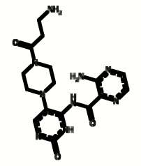 NCCC(=O)N1CCN(c2cnc(=O)[nH]c2NC(=O)c2nccnc2N)CC1